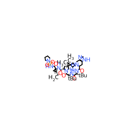 C=C[C@@H]1C[C@]1(NC(=O)[C@@H]1C[C@@]2(CN1C(=O)[C@@H](NC(=O)[C@@H](NC(=O)C1Cc3[nH]cnc3CN1)C(C)(C)C)C(C)(C)C)C(C)(C)C21CCC1)C(=O)NS(=O)(=O)N1CCCC1